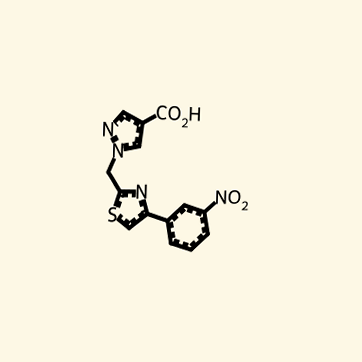 O=C(O)c1cnn(Cc2nc(-c3cccc([N+](=O)[O-])c3)cs2)c1